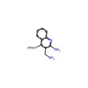 CCCCCc1c(CN)c(N)nc2ccccc12